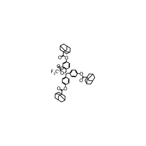 O=C(Oc1ccc(S(OS(=O)(=O)C(F)(F)F)(c2ccc(OC(=O)C34CC5CC(CC(C5)C3)C4)cc2)c2ccc(OC(=O)C34CC5CC(CC(C5)C3)C4)cc2)cc1)C12CC3CC(CC(C3)C1)C2